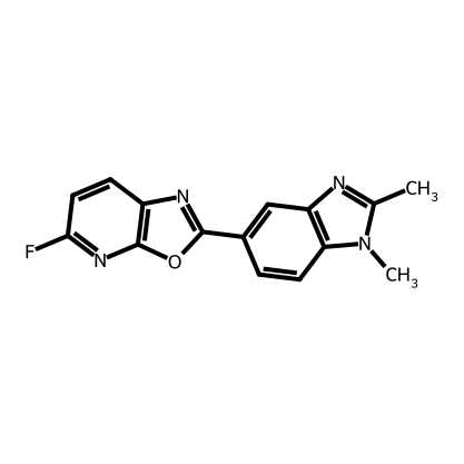 Cc1nc2cc(-c3nc4ccc(F)nc4o3)ccc2n1C